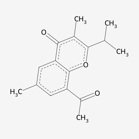 CC(=O)c1cc(C)cc2c(=O)c(C)c(C(C)C)oc12